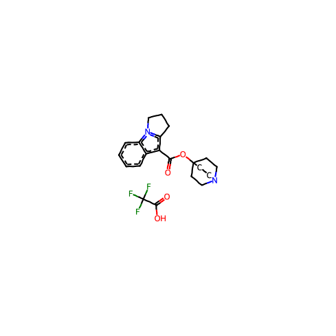 O=C(O)C(F)(F)F.O=C(OC12CCN(CC1)CC2)c1c2n(c3ccccc13)CCC2